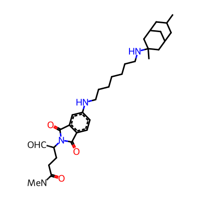 CNC(=O)CCC(C=O)N1C(=O)c2ccc(NCCCCCCCNC3(C)CC4CC(C)CC(C4)C3)cc2C1=O